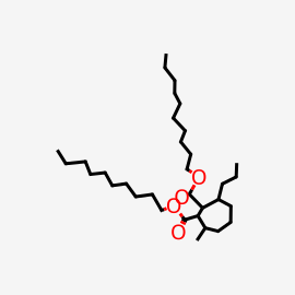 CCCCCCCCCCOC(=O)C1C(C)CCCC(CCC)C1C(=O)OCCCCCCCCCC